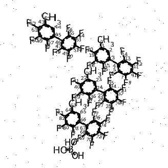 Cc1cc(-c2c(F)c(F)c(F)c(F)c2F)c(F)c(F)c1F.Cc1cc(-c2c(F)c(F)c(F)c(F)c2F)c(F)c(F)c1F.Cc1cc(-c2c(F)c(F)c(F)c(F)c2F)c(F)c(F)c1F.Cc1cc(-c2c(F)c(F)c(F)c(F)c2F)c(F)c(F)c1F.OB(O)O